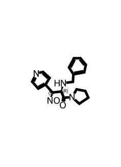 O=N[C@@H](c1ccncc1)[C@@H](NCc1ccccc1)C(=O)N1CCCC1